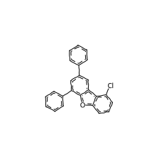 Clc1cccc2oc3c(-c4ccccc4)cc(-c4ccccc4)cc3c12